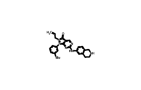 C=CCn1c(=O)c2cnc(Nc3ccc4c(c3)CCNC4)nc2n1-c1cccc(C(C)(C)C)c1